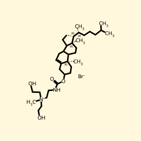 CC(C)CCC[C@@H](C)[C@H]1CCC2C3CC=C4CC(OC(=O)NCC[N+](C)(CCO)CCO)CC[C@]4(C)C3CC[C@@]21C.[Br-]